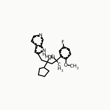 COc1ccc(F)cc1C(C)(C)CC(O)(Cc1cc2ccncc2[nH]1)C1CCCC1